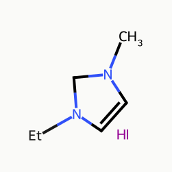 CCN1C=CN(C)C1.I